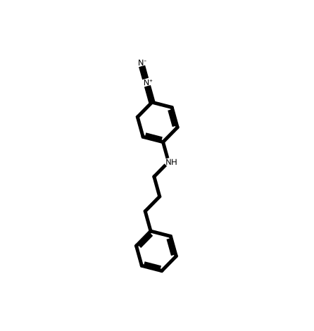 [N-]=[N+]=C1C=CC(NCCCc2ccccc2)=CC1